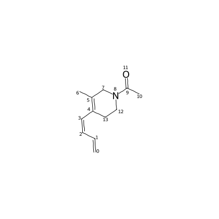 C=C/C=C\C1=C(C)CN(C(C)=O)CC1